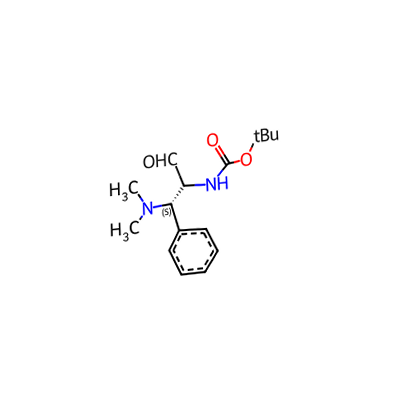 CN(C)[C@@H](c1ccccc1)C(C=O)NC(=O)OC(C)(C)C